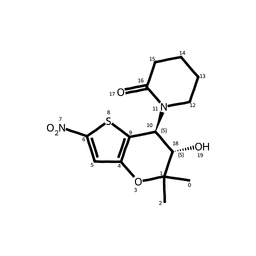 CC1(C)Oc2cc([N+](=O)[O-])sc2[C@@H](N2CCCCC2=O)[C@@H]1O